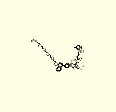 Cc1ccnc(NCCCC(=O)N[C@@H](C)C(=O)N[C@@H](CC(=O)O)c2ccc(-c3ccc(OCCOCCOCCOCCOCCC(C)(C)C)c4ccccc34)cc2)c1